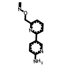 C=NOCc1cccc(-c2ccc(N)nc2)n1